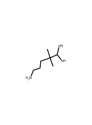 CCCC(CCC)C(C)(C)CCCN